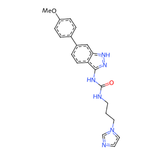 COc1ccc(-c2ccc3c(NC(=O)NCCCn4ccnc4)n[nH]c3c2)cc1